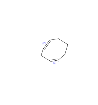 [C]1=C\C/C=C\CCC/1